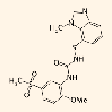 COc1ccc(S(C)(=O)=O)cc1NC(=O)NSc1cccc2ncn(C)c12